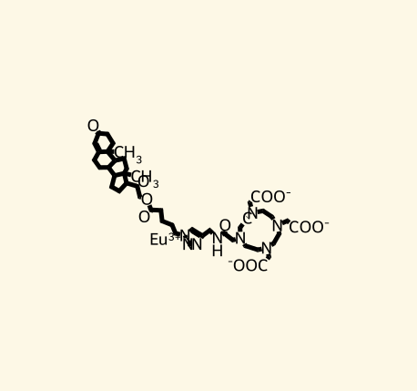 CC12CCC(=O)C=C1CCC1C2CCC2(C)C(C(=O)COC(=O)CCCCn3cc(CNC(=O)CN4CCN(CC(=O)[O-])CCN(CC(=O)[O-])CCN(CC(=O)[O-])CC4)nn3)CCC12.[Eu+3]